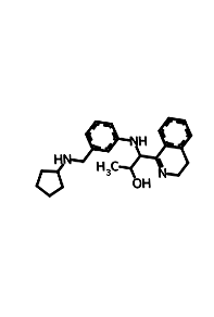 CC(O)C(Nc1cccc(CNC2CCCC2)c1)C1=NCCc2ccccc21